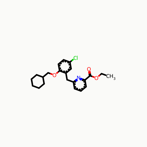 CCOC(=O)c1cccc(Cc2cc(Cl)ccc2OCC2CCCCC2)n1